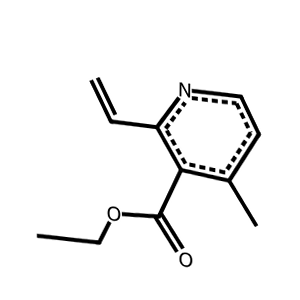 C=Cc1nccc(C)c1C(=O)OCC